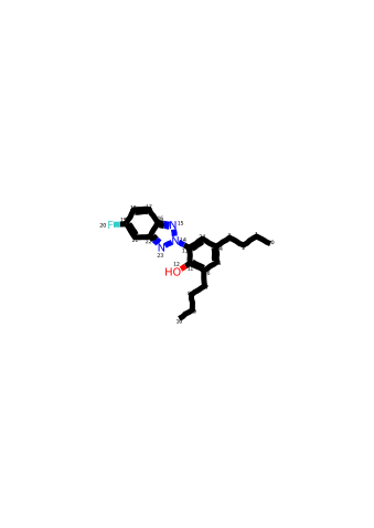 CCCCc1cc(CCCC)c(O)c(-n2nc3ccc(F)cc3n2)c1